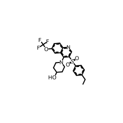 CCc1ccc(S(=O)(=O)c2cnc3ccc(OC(F)(F)F)cc3c2N2CCC(O)CC2)cc1